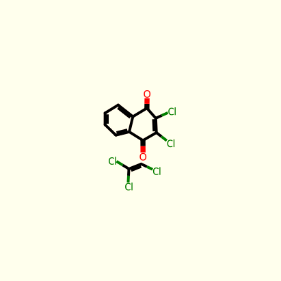 ClC=C(Cl)Cl.O=C1C(Cl)=C(Cl)C(=O)c2ccccc21